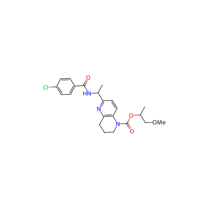 COCC(C)OC(=O)N1CCCc2nc(C(C)NC(=O)c3ccc(Cl)cc3)ccc21